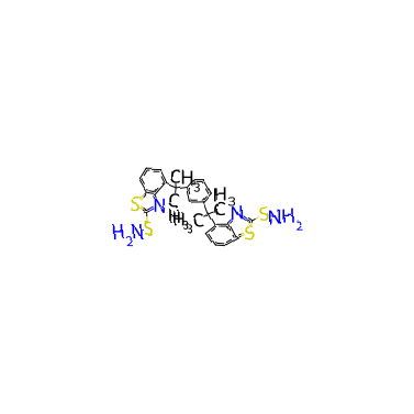 CC(C)(c1cccc(C(C)(C)c2cccc3sc(SN)nc23)c1)c1cccc2sc(SN)nc12